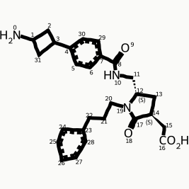 NC1CC(c2ccc(C(=O)NC[C@@H]3C[C@@H](CC(=O)O)C(=O)N3CCCc3ccccc3)cc2)C1